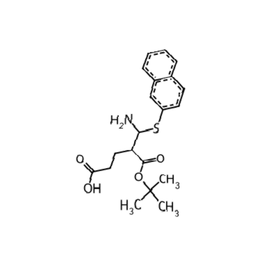 CC(C)(C)OC(=O)C(CCC(=O)O)C(N)Sc1ccc2ccccc2c1